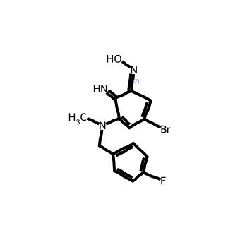 CN(Cc1ccc(F)cc1)C1=CC(Br)=C/C(=N/O)C1=N